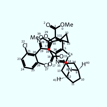 COC(=O)c1cc2sc(N3[C@@H]4CC[C@H]3C[C@H](OC(=O)c3c(-c5c(Cl)cccc5Cl)noc3C3CC3)C4)nc2cc1OC